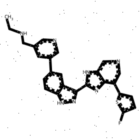 CCNCc1cncc(-c2ccc3[nH]nc(-c4nc5c(-c6ccc(F)s6)cncc5[nH]4)c3c2)c1